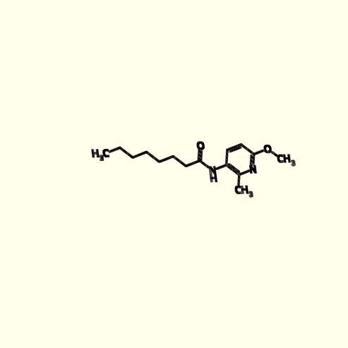 CCCCCCCC(=O)Nc1ccc(OC)nc1C